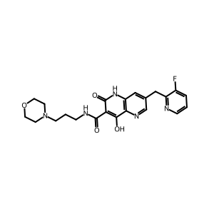 O=C(NCCCN1CCOCC1)c1c(O)c2ncc(Cc3ncccc3F)cc2[nH]c1=O